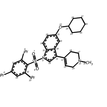 CC(C)c1cc(C(C)C)c(S(=O)(=O)n2cc(C3=CCN(C)CC3)c3cc(OC4CCCCC4)ccc32)c(C(C)C)c1